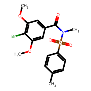 COc1cc(C(=O)N(C)S(=O)(=O)c2ccc(C)cc2)cc(OC)c1Br